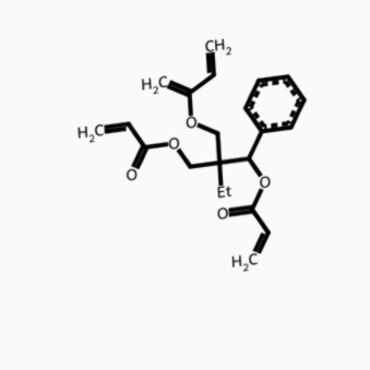 C=CC(=C)OCC(CC)(COC(=O)C=C)C(OC(=O)C=C)c1ccccc1